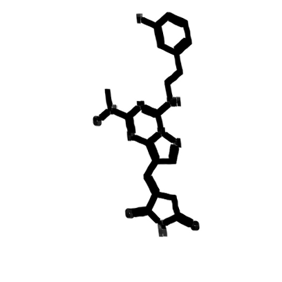 C[S+]([O-])c1nc(NCCc2cccc(F)c2)n2ncc(C=C3CC(=O)NC3=O)c2n1